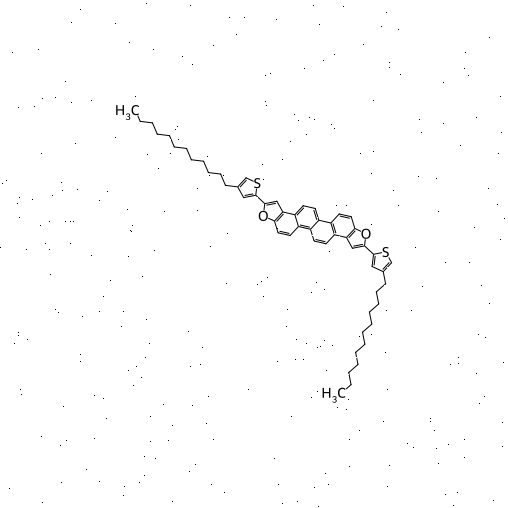 CCCCCCCCCCCCc1csc(-c2cc3c(ccc4c3ccc3c5ccc6oc(-c7cc(CCCCCCCCCCCC)cs7)cc6c5ccc43)o2)c1